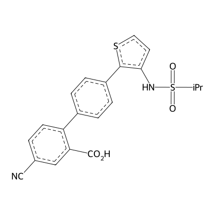 CC(C)S(=O)(=O)Nc1ccsc1-c1ccc(-c2ccc(C#N)cc2C(=O)O)cc1